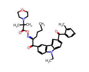 CCCC/C(=N\OC(=O)C(C)(C)N1CCOCC1)C(=O)c1ccc2c(c1)c1cc(C(=O)c3ccccc3C)ccc1n2CC